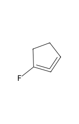 FC1=C=CCC1